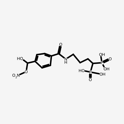 O=C(NCCCC(P(=O)(O)O)P(=O)(O)O)c1ccc(C(O)O[N+](=O)[O-])cc1